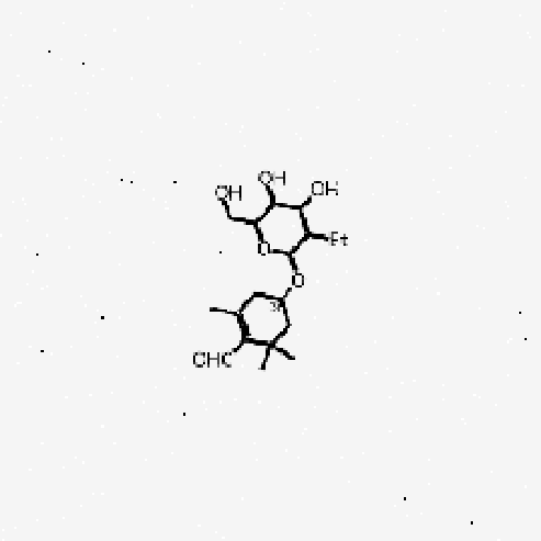 CCC1C(O[C@@H]2CC(C)=C(C=O)C(C)(C)C2)OC(CO)C(O)C1O